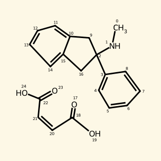 CNC1(c2ccccc2)Cc2ccccc2C1.O=C(O)/C=C\C(=O)O